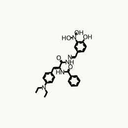 CCN(CC)c1ccc(/C=C(\NC(=O)c2ccccc2)C(=O)N/N=C/c2ccc(O)c(N(O)O)c2)cc1